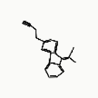 C#CCCc1ccc2c(c1)-c1ccccc1C2=C(C)C